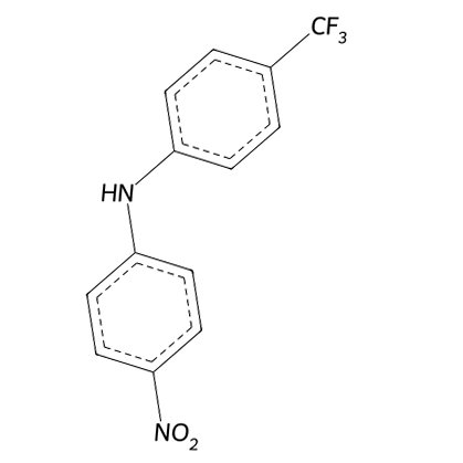 O=[N+]([O-])c1ccc(Nc2ccc(C(F)(F)F)cc2)cc1